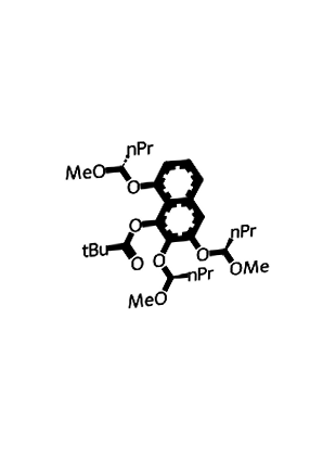 CCC[C@@H](OC)Oc1cc2cccc(O[C@@H](CCC)OC)c2c(OC(=O)C(C)(C)C)c1O[C@@H](CCC)OC